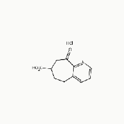 Cl.O=C1CC(C(=O)O)CCc2cccnc21